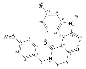 COc1ccc(CN2CCC(=O)C(n3c(=O)n(C)c4cc(Br)ccc43)C2=O)cc1